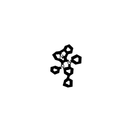 c1ccc(-c2ccc3c(c2)N(c2ccccc2)c2c(c4c5ccccc5c5cccc2n54)N3c2ccccc2)cc1